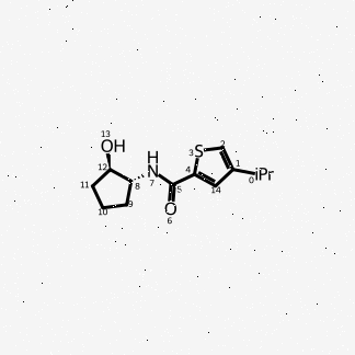 CC(C)c1csc(C(=O)N[C@@H]2CCC[C@H]2O)c1